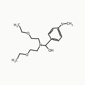 CCOCCN(CCOCC)C(O)c1ccc(SC)cc1